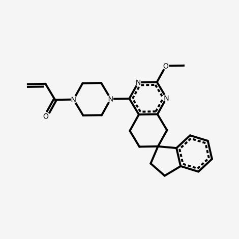 C=CC(=O)N1CCN(c2nc(OC)nc3c2CCC2(CCc4ccccc42)C3)CC1